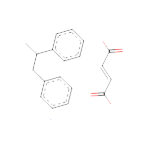 CC(Cc1ccccc1)c1ccccc1.N.O=C(O)C=CC(=O)O